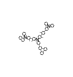 Cc1cc(-c2ccc3c(c2)c2ccccc2n3-c2ccccc2)ccc1-c1ccc(N(c2ccc(-c3ccc4c5ccccc5c5ccccc5c4c3)cc2)c2ccc(-c3ccc(N(c4ccccc4)c4cccc5ccccc45)cc3C)c(C)c2)cc1C